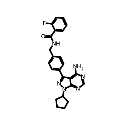 Nc1ncnc2c1c(-c1ccc(CNC(=O)c3ccccc3F)cc1)nn2C1CCCC1